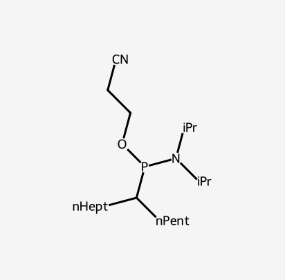 CCCCCCCC(CCCCC)P(OCCC#N)N(C(C)C)C(C)C